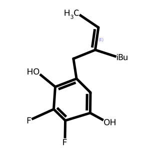 C/C=C(\Cc1cc(O)c(F)c(F)c1O)C(C)CC